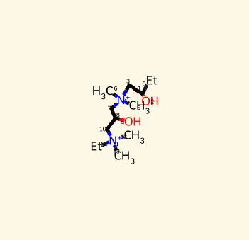 CCC(O)C[N+](C)(C)CC(O)C[N+](C)(C)CC